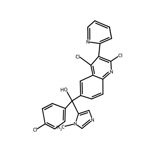 Cn1cncc1C(O)(c1ccc(Cl)cc1)c1ccc2nc(Cl)c(-c3ccccn3)c(Cl)c2c1